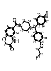 O=C1COc2ccc(C(=O)N3CCC([C@@H](c4ccc(F)cc4)c4ccc(OCCF)cc4)CC3)cc2N1